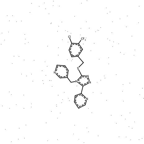 FC(F)(F)c1cc(CSc2nnc(-c3ccccn3)n2Cc2cccnc2)ccc1Cl